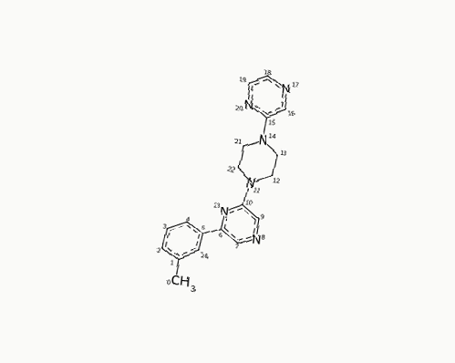 Cc1cccc(-c2cncc(N3CCN(c4cnccn4)CC3)n2)c1